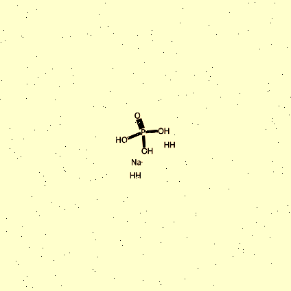 O=P(O)(O)O.[HH].[HH].[Na]